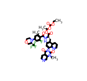 CCOC(=O)OC(C)OC(=O)[C@H](Cc1ccc(-n2c(=O)c3ccncc3n(C)c2=O)c2ncccc12)NC(=O)c1c(C)cc(N2CCOC[C@@H]2C(F)(F)F)cc1F